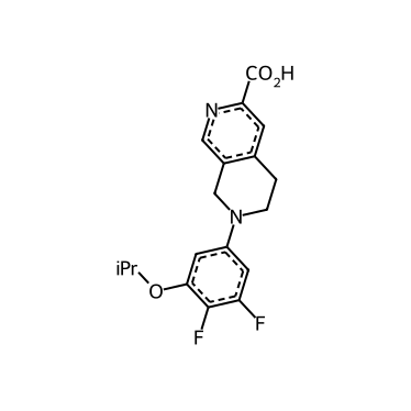 CC(C)Oc1cc(N2CCc3cc(C(=O)O)ncc3C2)cc(F)c1F